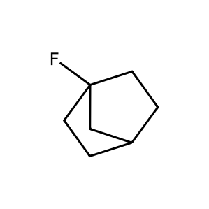 FC12CCC(CC1)C2